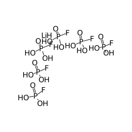 O=P(O)(O)F.O=P(O)(O)F.O=P(O)(O)F.O=P(O)(O)F.O=P(O)(O)F.O=P(O)(O)F.[LiH]